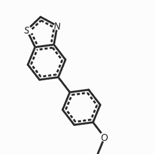 COc1ccc(-c2ccc3scnc3c2)cc1